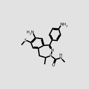 CNC(=O)N1N=C(c2ccc(N)cc2)c2cc(N)c(SC)cc2CC1C